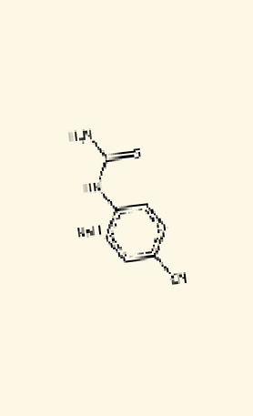 N#Cc1ccc(NC(N)=S)cc1.[NaH]